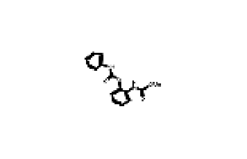 COC(=O)Nc1ccccc1OC(=O)Nc1ccccc1